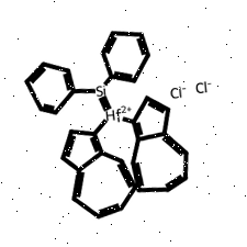 [Cl-].[Cl-].c1ccc([Si](c2ccccc2)=[Hf+2]([c]2ccc3cccccc2-3)[c]2ccc3cccccc2-3)cc1